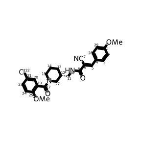 COc1ccc(/C=C(\C#N)C(=O)NC[C@H]2CCCN(C(=O)c3cc(Cl)ccc3OC)C2)cc1